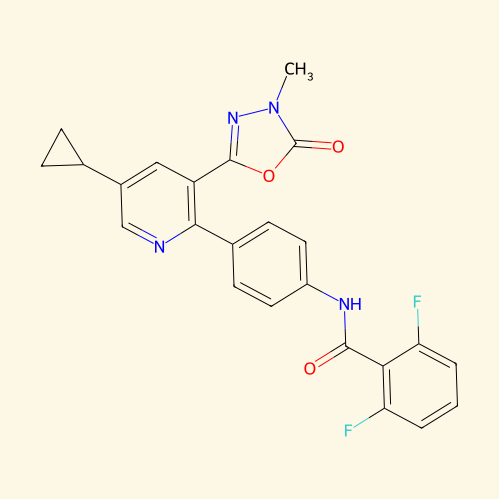 Cn1nc(-c2cc(C3CC3)cnc2-c2ccc(NC(=O)c3c(F)cccc3F)cc2)oc1=O